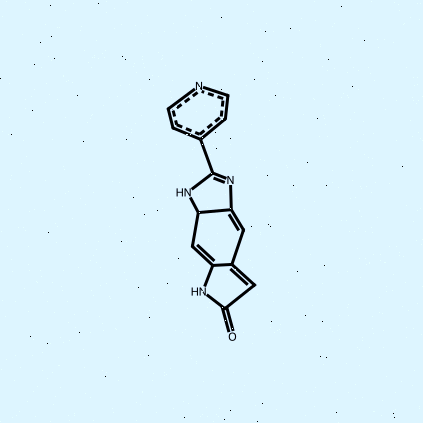 O=C1C=C2C=C3N=C(c4ccncc4)NC3C=C2N1